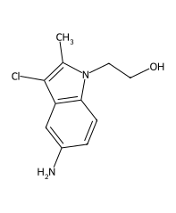 Cc1c(Cl)c2cc(N)ccc2n1CCO